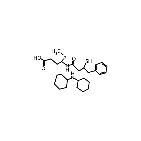 C1CCC(NC2CCCCC2)CC1.CSC(CCC(=O)O)NC(=O)CC(S)Cc1ccccc1